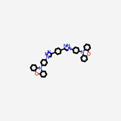 c1ccc2c(c1)Oc1ccccc1N2c1ccc(-n2cc(-c3ccc(-c4cn(-c5ccc(N6c7ccccc7Oc7ccccc76)cc5)nn4)cc3)nn2)cc1